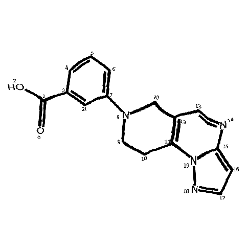 O=C(O)c1cccc(N2CCc3c(cnc4ccnn34)C2)c1